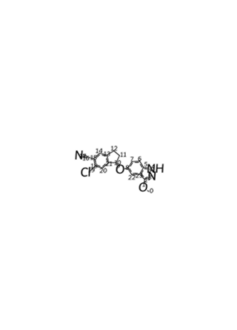 COc1n[nH]c2ccc(OC3CCc4cc(C#N)c(Cl)cc43)cc12